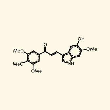 COc1cc2[nH]cc(C=CC(=O)c3cc(OC)c(OC)c(OC)c3)c2cc1O